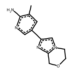 Cc1cc(-c2cn3c(n2)COCC3)cnc1N